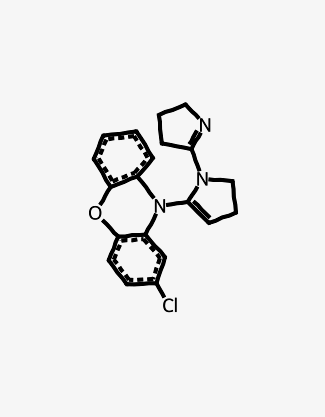 Clc1ccc2c(c1)N(C1=CCCN1C1=NCCC1)c1ccccc1O2